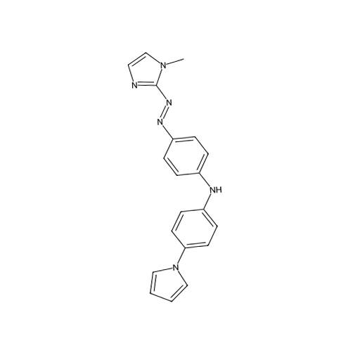 Cn1ccnc1/N=N/c1ccc(Nc2ccc(-n3cccc3)cc2)cc1